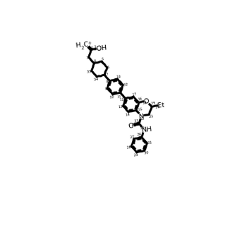 C=C(O)CC1CCC(c2ccc(-c3ccc4c(c3)OC(CC)CN4C(=O)Nc3ccccc3)cc2)CC1